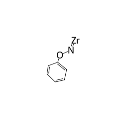 [Zr]=[N]Oc1ccccc1